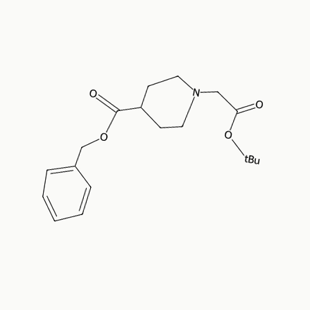 CC(C)(C)OC(=O)CN1CCC(C(=O)OCc2ccccc2)CC1